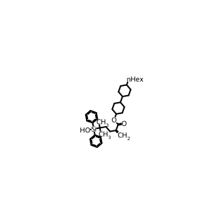 C=C(CCC(C)(C)[Si](O)(c1ccccc1)c1ccccc1)C(=O)OC1CCC(C2CCC(CCCCCC)CC2)CC1